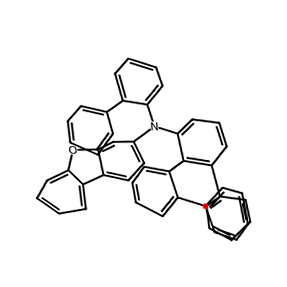 c1ccc(-c2ccccc2-c2c(-c3ccccc3)cccc2N(c2ccc3c(c2)oc2ccccc23)c2ccccc2-c2ccccc2)cc1